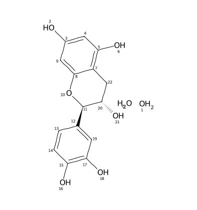 O.O.Oc1cc(O)c2c(c1)O[C@H](c1ccc(O)c(O)c1)[C@@H](O)C2